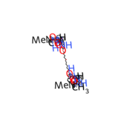 CN[C@@H](C)C(=O)N[C@H]1CCCC[C@H]2CC[C@@H](C(=O)NCCOCCCCCCCCCCCCOC[C@@H](NC(=O)[C@@H]3CC[C@@H]4CCCC[C@H](NC(=O)[C@H](C)NC)C(=O)N43)c3ccccc3)N2C1=O